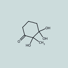 CC1(O)C(=O)CCCC1(O)O